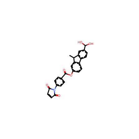 CC1c2cc(OC(=O)c3ccc(N4C(=O)C=CC4=O)cc3)ccc2-c2ccc(C(O)O)cc21